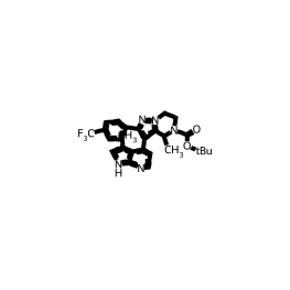 Cc1c[nH]c2nccc(-c3c(-c4ccc(C(F)(F)F)cc4)nn4c3C(C)N(C(=O)OC(C)(C)C)CC4)c12